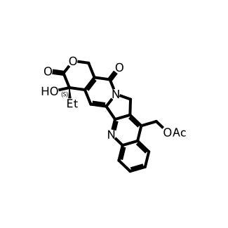 CC[C@@]1(O)C(=O)OCc2c1cc1n(c2=O)Cc2c-1nc1ccccc1c2COC(C)=O